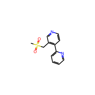 CS(=O)(=O)Cc1cnccc1-c1ccccn1